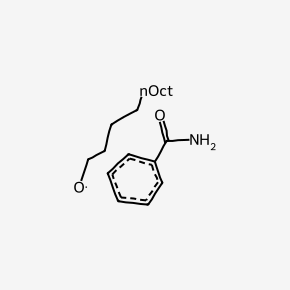 CCCCCCCCCCCC[O].NC(=O)c1ccccc1